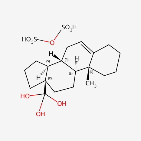 C[C@]12CCCCC1=CC[C@H]1[C@@H]3CCC[C@@]3(C(O)(O)O)CC[C@@H]12.O=S(=O)(O)OS(=O)(=O)O